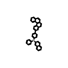 c1ccc(N(c2ccc(-c3ccc4c(ccc5ccc6ccccc6c54)c3)cc2)c2ccc3ccccc3c2)cc1